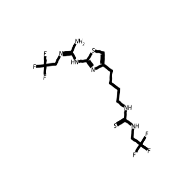 N/C(=N/CC(F)(F)F)Nc1nc(CCCCNC(=S)NCC(F)(F)F)cs1